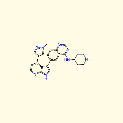 CN1CCC(Nc2ncnc3ccc(-c4c[nH]c5nccc(-c6cnn(C)c6)c45)cc23)CC1